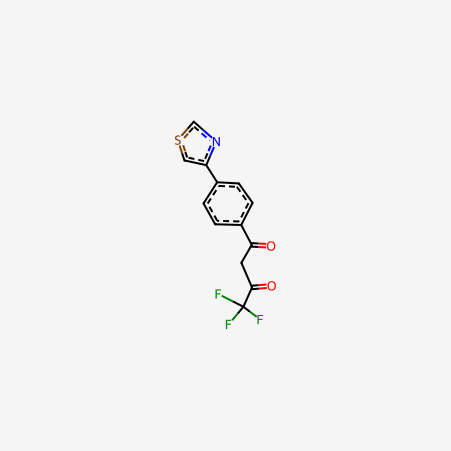 O=C(CC(=O)C(F)(F)F)c1ccc(-c2cscn2)cc1